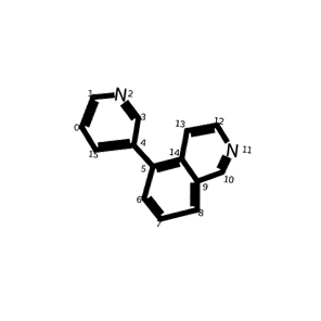 c1cncc(-c2cccc3cnccc23)c1